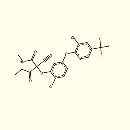 CCC(=O)C(C#N)(Oc1cc(Oc2ncc(C(F)(F)F)cc2Cl)ccc1Cl)C(=O)NC